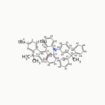 CC(C)(C)c1cc(C(C)(C)C)c2c(c1)C(C)(C)c1cccc(-c3ccccc3N(c3ccccc3)c3ccc4c(c3)C(C)(c3ccccc3)c3ccccc3-4)c1-2